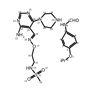 CC(C)Oc1ccc(NC=O)cc1.CS(=O)(=O)NCCON=Cc1c(N)ncnc1N1CCNCC1